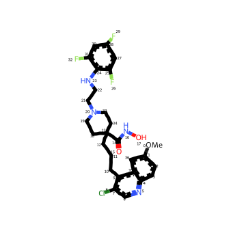 COc1ccc2ncc(Cl)c(CCCC3(C(=O)NO)CCN(CCNc4c(F)cc(F)cc4F)CC3)c2c1